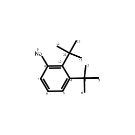 CC(C)(C)c1ccc[c]([Na])c1C(C)(C)C